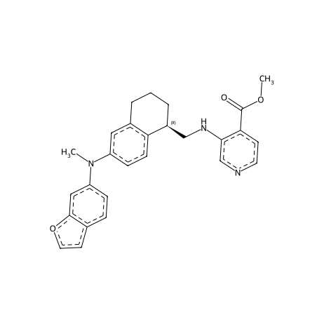 COC(=O)c1ccncc1NC[C@@H]1CCCc2cc(N(C)c3ccc4ccoc4c3)ccc21